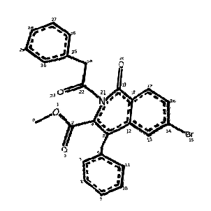 COC(=O)c1c(-c2ccccc2)c2cc(Br)ccc2c(=O)n1C(=O)Cc1ccccc1